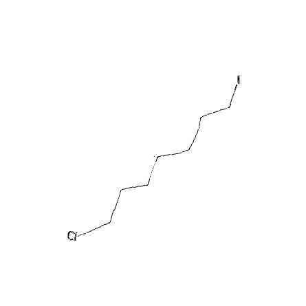 ClCCC[CH]CCCI